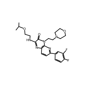 CC(C)OCCNc1nc2ccc(-c3ccc(F)c(F)c3)nc2n(CCN2CCOCC2)c1=O